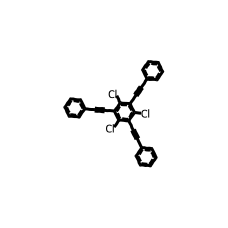 Clc1c(C#Cc2ccccc2)c(Cl)c(C#Cc2ccccc2)c(Cl)c1C#Cc1ccccc1